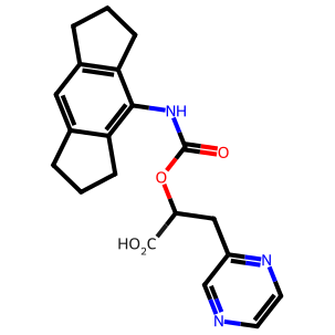 O=C(Nc1c2c(cc3c1CCC3)CCC2)OC(Cc1cnccn1)C(=O)O